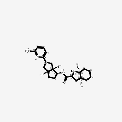 O=C(N[C@H]1CC[C@@H]2CN(c3cccc(C(F)(F)F)n3)C[C@@H]21)[C@@H]1C[C@@H]2CCCC[C@@H]2N1